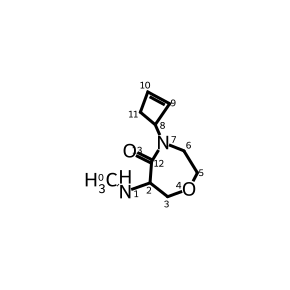 CNC1COCCN(C2C=CC2)C1=O